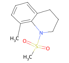 Cc1cccc2c1N(S(C)(=O)=O)CCC2